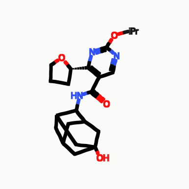 CC(C)Oc1ncc(C(=O)NC2C3CC4CC2CC(O)(C4)C3)c([C@@H]2CCCO2)n1